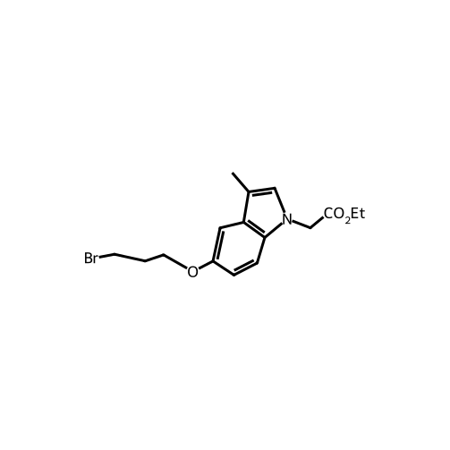 CCOC(=O)Cn1cc(C)c2cc(OCCCBr)ccc21